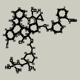 COc1ccccc1-c1nccc(COc2ccccc2C2([C@@H](Oc3ncnc4sc5c6ccc(F)cc6c6c(Cl)c(OCCN7CC[N+](C)(COP(=O)(O)O)CC7)ccc6c5c34)C(=O)O)CC2)n1